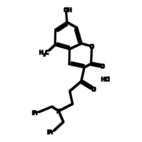 Cc1cc(O)cc2oc(=O)c(C(=O)CCN(CC(C)C)CC(C)C)cc12.Cl